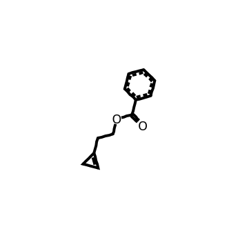 O=C(OCCC1=CC1)c1ccccc1